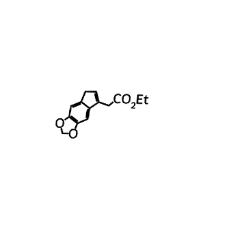 CCOC(=O)CC1=CCc2cc3c(cc21)OCO3